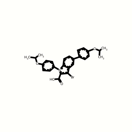 CC(C)Oc1ccc(-c2ccc3c(c2)c(Br)c(C(=O)O)n3-c2ccc(OC(C)C)cc2)cc1